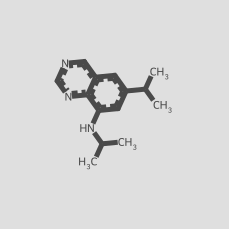 CC(C)Nc1cc(C(C)C)cc2cncnc12